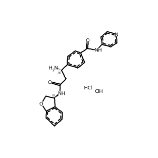 Cl.Cl.N[C@@H](CC(=O)N[C@@H]1COc2ccccc21)c1ccc(C(=O)Nc2ccncc2)cc1